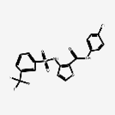 O=C(Nc1ccc(Cl)cc1)c1sccc1NS(=O)(=O)c1cccc(C(F)(F)F)c1